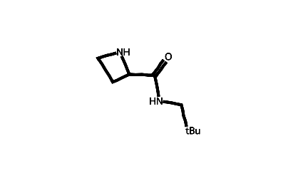 CC(C)(C)CNC(=O)C1CCN1